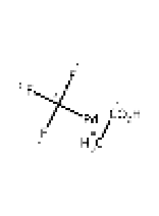 CC(=O)O.F[C](F)(F)[Pd]